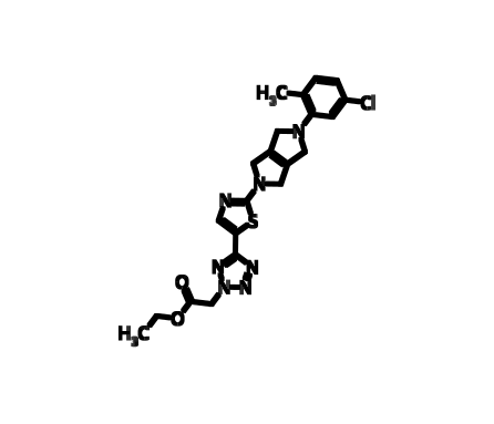 CCOC(=O)Cn1nnc(-c2cnc(N3CC4=C(C3)CN(c3cc(Cl)ccc3C)C4)s2)n1